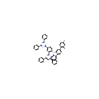 Cc1ccc(-c2ccc3c4ccccc4n(-c4ccc(-c5nc(-c6ccccc6)nc(-c6ccccc6)n5)cc4-c4nc(-c5ccccc5)cc(-c5ccccc5)n4)c3c2)c(C)c1